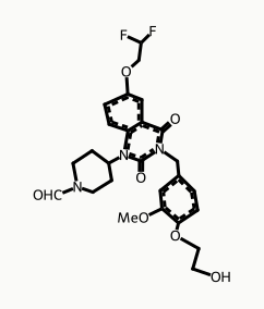 COc1cc(Cn2c(=O)c3cc(OCC(F)F)ccc3n(C3CCN(C=O)CC3)c2=O)ccc1OCCO